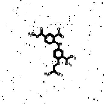 COC(=O)c1ccc(Nc2ccc(OCC(C)C)c(C(C)C)c2)c([N+](=O)[O-])c1